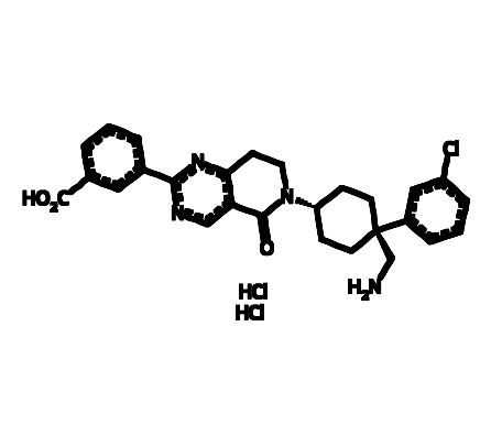 Cl.Cl.NC[C@]1(c2cccc(Cl)c2)CC[C@@H](N2CCc3nc(-c4cccc(C(=O)O)c4)ncc3C2=O)CC1